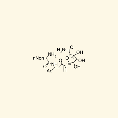 CCCCCCCCCC(N)C(=O)NC(CC(=O)N[C@@H]1OC(C(N)=O)[C@@H](O)[C@H](O)C1O)C(C)=O